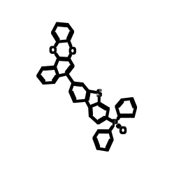 O=P(c1ccccc1)(c1ccccc1)c1ccc2c(c1)sc1cc(-c3cc4c(c5ccccc35)Oc3ccccc3O4)ccc12